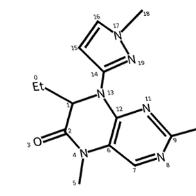 CCC1C(=O)N(C)c2cnc(Cl)nc2N1c1ccn(C)n1